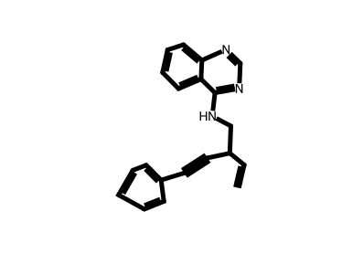 C=CC(C#Cc1ccccc1)CNc1ncnc2ccccc12